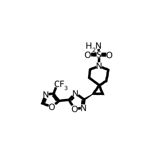 NS(=O)(=O)N1CCC2(CC1)C[C@H]2c1noc(-c2ocnc2C(F)(F)F)n1